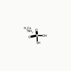 N.O=S(=O)(O)S.[CaH2]